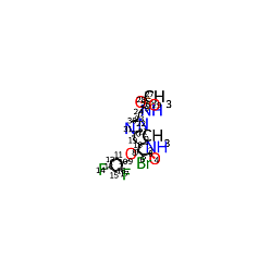 Cc1[nH]c(=O)c(Br)c(OCc2ccc(F)cc2F)c1Cc1cnc(CNS(C)(=O)=O)cn1